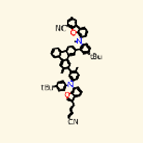 Cc1ccc(N(c2ccc(C(C)(C)C)cc2)c2cccc3c(CC/C=C/C#N)coc23)cc1-c1cc2c3cc(-c4cc(C(C)(C)C)ccc4N(C)c4cccc5c4oc4c(C#N)cccc45)ccc3c3ccccc3c2cc1C